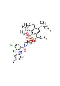 CCc1c(C(C)C)cc(C(C)C)c(S(=O)(=O)OC2(O)CN(C(=O)c3ccc(F)c(F)c3Nc3ccc(I)cc3F)C2)c1C(C)C